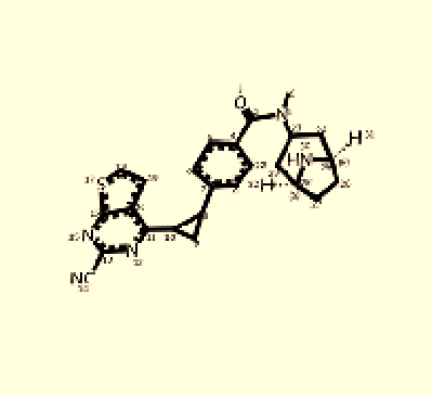 CN(C(=O)c1ccc(C2CC2c2nc(C#N)nc3sccc23)cc1)C1C[C@H]2CC[C@@H](C1)N2